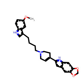 COc1ccc2[nH]cc(CCCCN3CC=C(c4cc5cc6c(cc5[nH]4)OCO6)CC3)c2c1